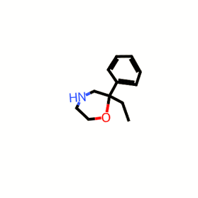 CCC1(c2ccccc2)CNCCO1